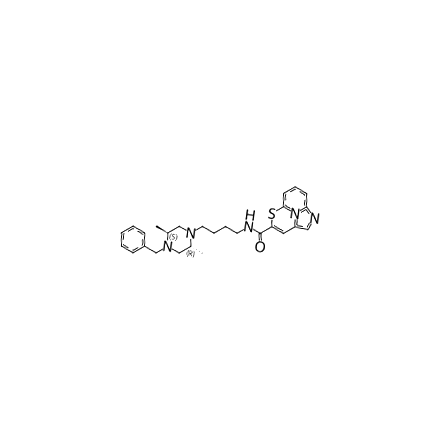 C[C@@H]1CN(Cc2ccccc2)[C@@H](C)CN1CCCCNC(=O)C1=Cc2cnc3cccc(n23)S1